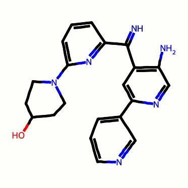 N=C(c1cccc(N2CCC(O)CC2)n1)c1cc(-c2cccnc2)ncc1N